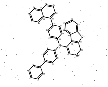 C1=C(N(c2ccc(-c3ccccc3)cc2)c2ccc(-c3cccc4ccccc34)cc2)c2c(sc3ccccc23)CN1